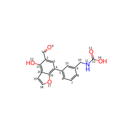 O=Cc1cc(-c2cccc(CNC(=O)O)c2)c2occc2c1O